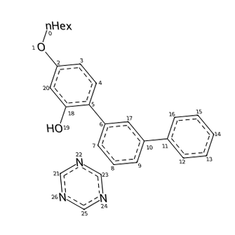 CCCCCCOc1ccc(-c2cccc(-c3ccccc3)c2)c(O)c1.c1ncncn1